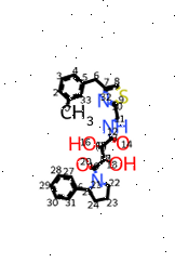 Cc1cccc(Cc2csc(CNC(=O)[C@H](O)[C@@H](O)C(=O)N3CCCC3c3ccccc3)n2)c1